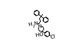 CC(CCC(N)N1CCC(O)(c2ccc(Cl)cc2)CC1)(c1ccccc1)c1ccccc1